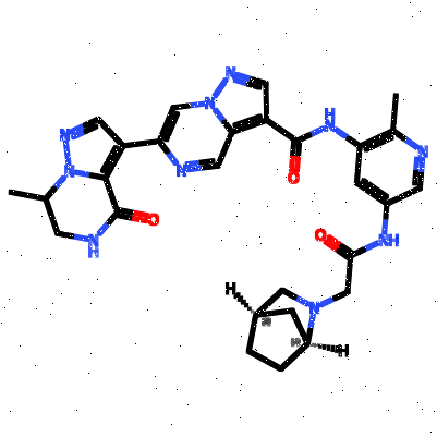 Cc1ncc(NC(=O)CN2C[C@@H]3CC[C@H]2C3)cc1NC(=O)c1cnn2cc(-c3cnn4c3C(=O)NCC4C)ncc12